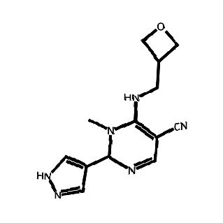 CN1C(NCC2COC2)=C(C#N)C=NC1c1cn[nH]c1